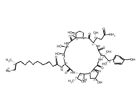 CC[C@H](C)C[C@H](C)CCCCCCCCC(=O)N[C@H]1C[C@@H](O)[C@@H](O)NC(=O)[C@@H]2[C@@H](O)CCN2C(=O)[C@H]([C@H](O)CC(N)=O)NC(=O)[C@H]([C@H](O)[C@@H](O)c2ccc(O)cc2)NC(=O)[C@@H]2C[C@@H](O)CN2C(O)[C@H]([C@@H](C)O)NC1=O